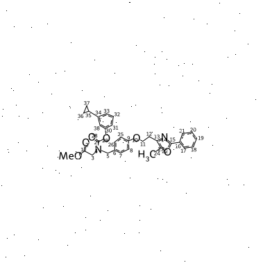 COC(=O)CN(Cc1ccc(OCCc2nc(-c3ccccc3)oc2C)cc1)C(=O)Oc1cccc(C2CC2)c1